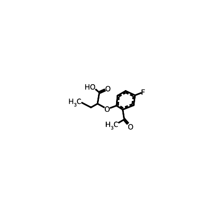 CCC(Oc1ccc(F)cc1C(C)=O)C(=O)O